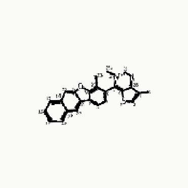 Cc1csc2c(-c3ccc4c(oc5cc6ccccc6cc54)c3C)[n+](C)cnc12